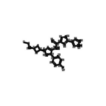 CCO[C@H]1C[C@@H](n2cc(NC(=O)c3csc(-c4cn[nH]c4)n3)c(-c3ccc(F)cn3)n2)C1